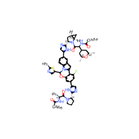 CCCc1ncc(C2Oc3cc(-c4cnc([C@@H]5CCCN5C(=O)[C@@H](NC(=O)OC)C(C)C)[nH]4)cc(F)c3-c3cc4cc(-c5cnc([C@@H]6C[C@H]7C[C@H]7N6C(=O)C(NC(=O)OC)C6C[C@@H](C)O[C@@H](C)C6)[nH]5)ccc4n32)s1